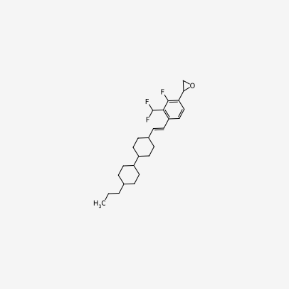 CCCC1CCC(C2CCC(/C=C/c3ccc(C4CO4)c(F)c3C(F)F)CC2)CC1